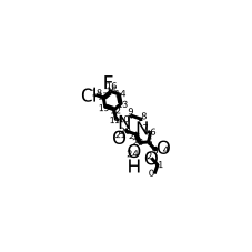 CCOC(=O)C1CN2CCN(Cc3ccc(F)c(Cl)c3)C(=O)C2=C1O